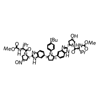 COC(=O)N[C@H](C(=O)N1C[C@@H](O)C[C@H]1c1nc2cc([C@H]3CC[C@H](c4ccc5nc([C@@H]6C[C@H](N=O)CN6C(=O)[C@@H](NC(=O)OC)C(C)C)[nH]c5c4)N3c3ccc(C(C)(C)C)cc3)ccc2[nH]1)C(C)C